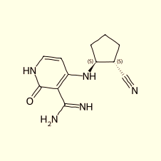 N#C[C@H]1CCC[C@@H]1Nc1cc[nH]c(=O)c1C(=N)N